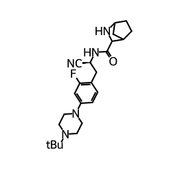 CC(C)(C)N1CCN(c2ccc(C[C@@H](C#N)NC(=O)C3NC4CCC3C4)c(F)c2)CC1